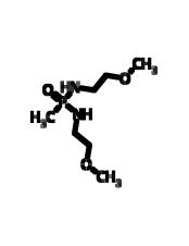 COCCNP(C)(=O)NCCOC